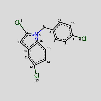 Clc1ccc(Cn2c(Cl)[c]c3cc(Cl)ccc32)cc1